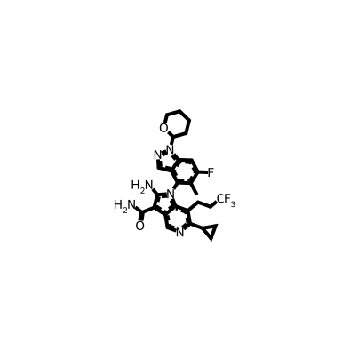 Cc1c(F)cc2c(cnn2C2CCCCO2)c1-n1c(N)c(C(N)=O)c2cnc(C3CC3)c(CCC(F)(F)F)c21